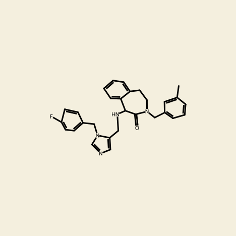 Cc1cccc(CN2CCc3ccccc3C(NCc3cncn3Cc3ccc(F)cc3)C2=O)c1